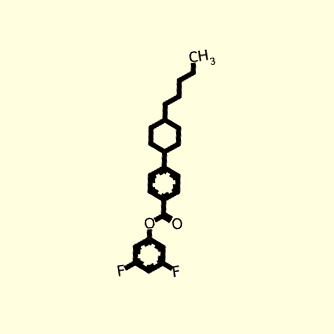 CCCCCC1CCC(c2ccc(C(=O)Oc3cc(F)cc(F)c3)cc2)CC1